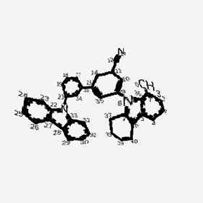 Cc1cccc2c3c(n(C4=CC(C#N)CC(c5cccc(-n6c7ccccc7c7ccccc76)c5)=C4)c12)CCC=C3